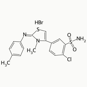 Br.Cc1ccc(N=c2scc(-c3ccc(Cl)c(S(N)(=O)=O)c3)n2C)cc1